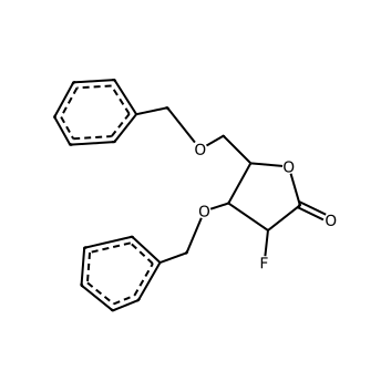 O=C1OC(COCc2ccccc2)C(OCc2ccccc2)C1F